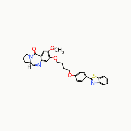 COc1cc2c(cc1OCCCCOc1ccc(-c3nc4ccccc4s3)cc1)N=C[C@@H]1CCCN1C2=O